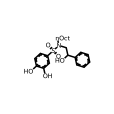 CCCCCCCCN(CC(O)c1ccccc1)S(=O)(=O)c1ccc(O)c(O)c1